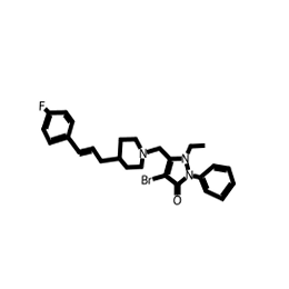 CCn1c(CN2CCC(CC=Cc3ccc(F)cc3)CC2)c(Br)c(=O)n1-c1ccccc1